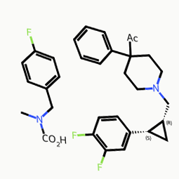 CC(=O)C1(c2ccccc2)CCN(C[C@@H]2C[C@@H]2c2ccc(F)c(F)c2)CC1.CN(Cc1ccc(F)cc1)C(=O)O